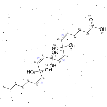 CCCCC/C=C\C(O)(O)/C=C\C(O)(O)/C=C\C(O)(O)/C=C\CCCC(=O)O